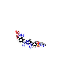 CC(C)(C)NS(=O)(=O)c1ccc(Nc2ccnc(Nc3ccc(C(=O)NO)cc3)n2)cc1